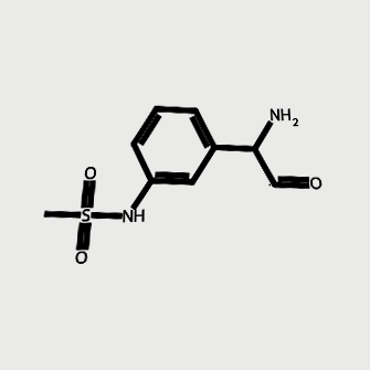 CS(=O)(=O)Nc1cccc(C(N)[C]=O)c1